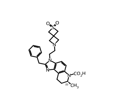 C[C@H]1CCc2c(ccc3c2nc(Cc2ccccc2)n3CCN2CC3(C2)CS(=O)(=O)C3)N1C(=O)O